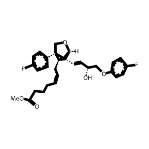 COC(=O)CCC/C=C\C[C@@H]1[C@@H](/C=C/[C@@H](O)COc2ccc(F)cc2)[C@H]2C[C@]1(c1ccc(F)cc1)CO2